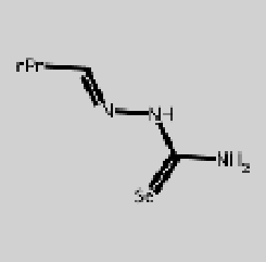 [CH2]CCC=NNC(N)=[Se]